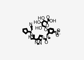 CN(Cc1cc([N+](=O)[O-])ccc1O[C@@H]1O[C@H](C(=O)O)[C@@H](O)[C@H](O)[C@H]1O)C(=O)n1ccc2c(-c3cnn([C@H](CC#N)C4CCCC4)c3)ncnc21